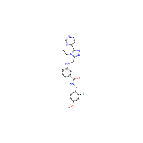 CCCn1c(CNc2cccc(C(=O)NCc3ccc(OC)cc3F)c2)nnc1-c1ccncn1